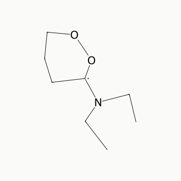 CCN(CC)[C]1CCCOO1